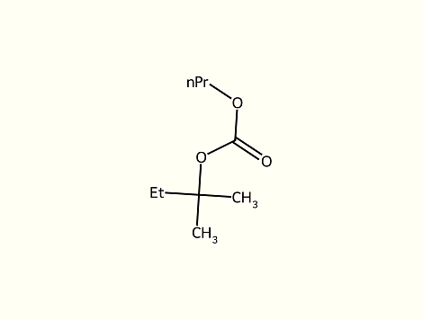 CCCOC(=O)OC(C)(C)CC